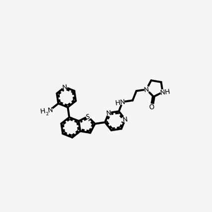 Nc1cnccc1-c1cccc2cc(-c3ccnc(NCCN4CCNC4=O)n3)sc12